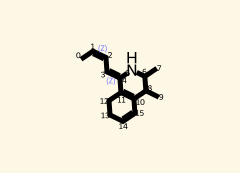 C/C=C\C=C1/NC(C)C(C)C2=C1CCC=C2